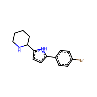 Brc1ccc(-c2ccc(C3CCCCN3)[nH]2)cc1